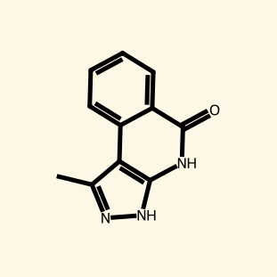 Cc1n[nH]c2[nH]c(=O)c3ccccc3c12